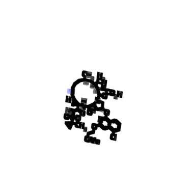 COCCOc1cc2c(Cl)cccc2c(O[C@@H]2C[C@H]3C(=O)N[C@]4(C(=O)NS(=O)(=O)C5(C)CC5)C[C@H]4/C=C\CC[C@@H](C)C[C@@H](C)[C@H](NC(=O)O)C(=O)N3C2)n1